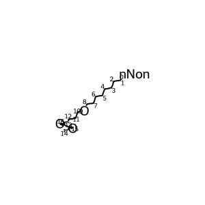 CCCCCCCCCCCCCCCCCOCCCS(C)(=O)=O